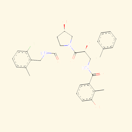 Cc1cccc(Cl)c1CNC(=O)[C@@H]1C[C@@H](O)CN1C(=O)[C@@H](O)[C@H](Cc1ccccc1)NC(=O)c1cccc(O)c1C